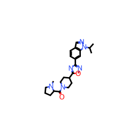 CC(C)n1ncc2ccc(-c3noc(C4CCN(C(=O)C5CCCN5C)CC4)n3)cc21